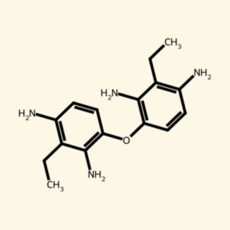 CCc1c(N)ccc(Oc2ccc(N)c(CC)c2N)c1N